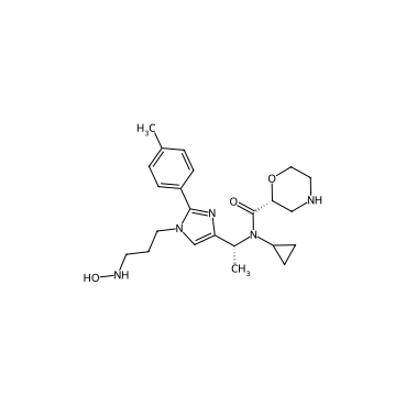 Cc1ccc(-c2nc([C@@H](C)N(C(=O)[C@H]3CNCCO3)C3CC3)cn2CCCNO)cc1